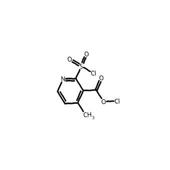 Cc1ccnc(S(=O)(=O)Cl)c1C(=O)OCl